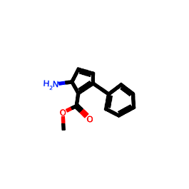 COC(=O)C1=C(c2ccccc2)C=CC1N